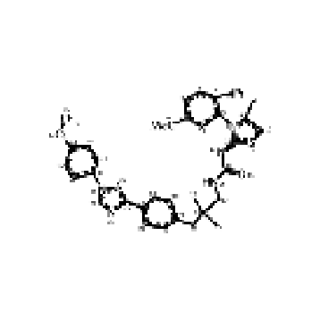 COc1ccc(C(C)C)c(-n2c(C)cs/c2=N\C(=O)NCC(C)(C)Cc2ccc(-c3ncn(-c4ccc(OC(F)(F)F)cc4)n3)cc2)c1